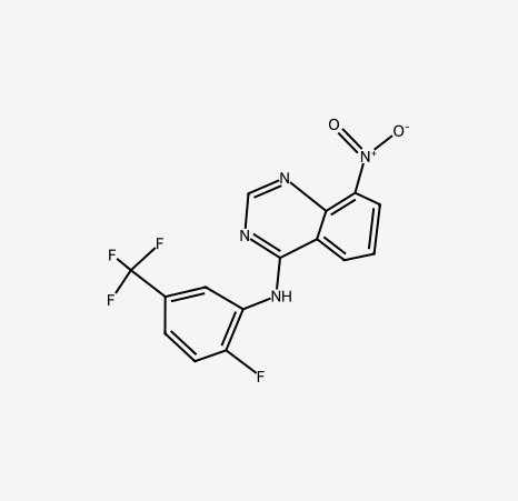 O=[N+]([O-])c1cccc2c(Nc3cc(C(F)(F)F)ccc3F)ncnc12